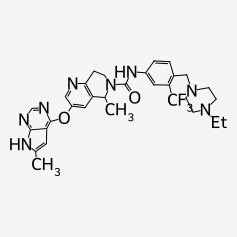 CCN1CCN(Cc2ccc(NC(=O)N3CCc4ncc(Oc5ncnc6[nH]c(C)cc56)cc4C3C)cc2C(F)(F)F)CC1